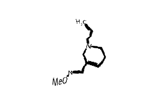 C=CCN1CCC=C(C=NOC)C1